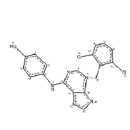 Oc1ccc(Nc2ncn(Cc3c(Cl)cccc3Cl)c3ncnc2-3)cc1